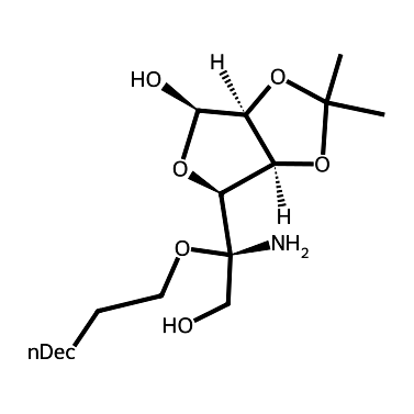 CCCCCCCCCCCCO[C@@](N)(CO)[C@H]1O[C@@H](O)[C@H]2OC(C)(C)O[C@H]21